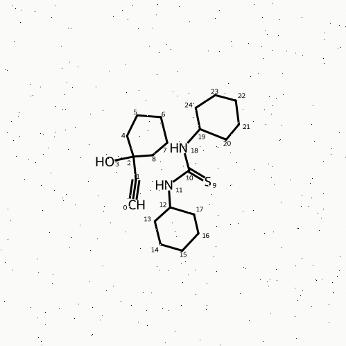 C#CC1(O)CCCCC1.S=C(NC1CCCCC1)NC1CCCCC1